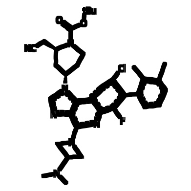 Cc1cccc(-c2c(Cl)cc3c(nc(N4CC(N(C)C)C4)c4ncn([C@H]5CCN(C(=O)OC(C)(C)C)[C@H](CC#N)C5)c43)c2F)c1C